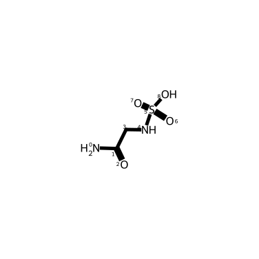 NC(=O)CNS(=O)(=O)O